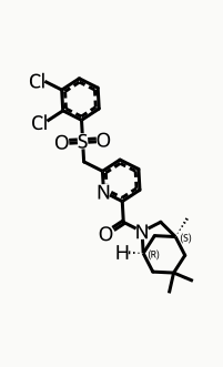 CC1(C)C[C@@H]2C[C@@](C)(CN2C(=O)c2cccc(CS(=O)(=O)c3cccc(Cl)c3Cl)n2)C1